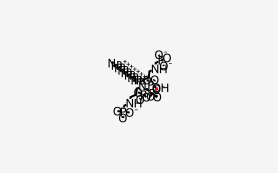 O=P([O-])([O-])CNCCCN(CCCNCP(=O)([O-])[O-])C(P(=O)([O-])[O-])(P(=O)([O-])[O-])P(=O)(O)O.[Na+].[Na+].[Na+].[Na+].[Na+].[Na+].[Na+].[Na+]